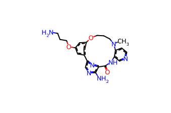 CN1CCCOc2cc(OCCCN)cc(c2)-c2cnc(N)c(n2)C(=O)Nc2cnccc21